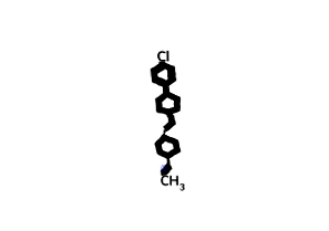 C/C=C/[C@H]1CC[C@H](CCC2CCC(c3ccc(Cl)cc3)CC2)CC1